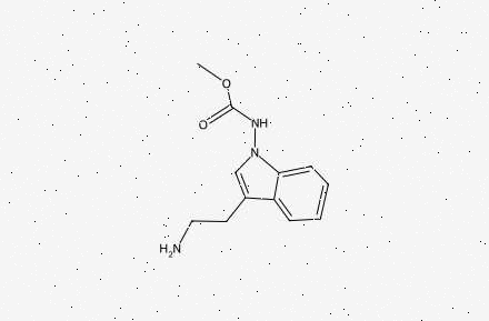 COC(=O)Nn1cc(CCN)c2ccccc21